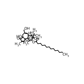 CCCCCCCCCCCCCC(=O)O[C@@H]1[C@@H](C)[C@@]2(O)[C@@H](C=C(CO)C[C@@]3(O)C(=O)C(C)=C[C@@H]23)[C@@H]2C(C)(C)[C@]12O